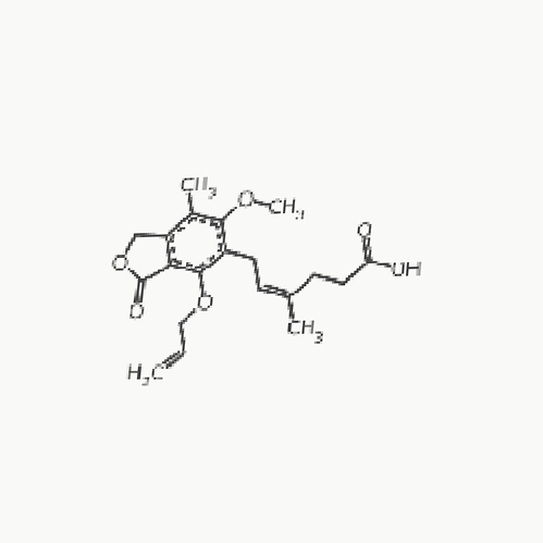 C=CCOc1c(CC=C(C)CCC(=O)O)c(OC)c(C)c2c1C(=O)OC2